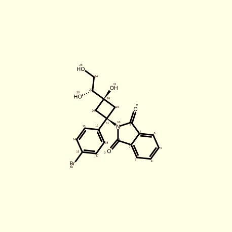 O=C1c2ccccc2C(=O)N1[C@]1(c2ccc(Br)cc2)C[C@@](O)([C@H](O)CO)C1